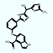 Cc1ncc(C(O)c2nnc(-c3cccc(Oc4ccc5[nH]ccc5c4C(=O)O)c3)[nH]2)s1